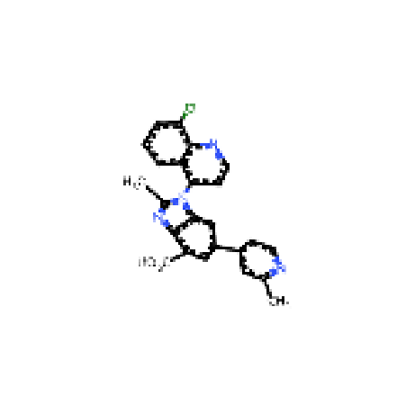 Cc1cc(-c2cc(C(=O)O)c3nc(C)n(-c4ccnc5c(Cl)cccc45)c3c2)ccn1